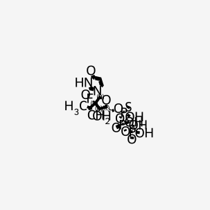 C=C(C)[C@@]1(F)[C@H](O)[C@@H](COP(O)(=S)OP(=O)(O)OP(=O)(O)O)O[C@H]1n1ccc(=O)[nH]c1=O